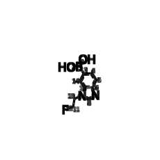 OB(O)c1ccc2ncn(CCF)c2c1